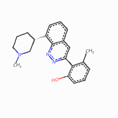 Cc1cccc(O)c1-c1cc2cccc([C@H]3CCCN(C)C3)c2nn1